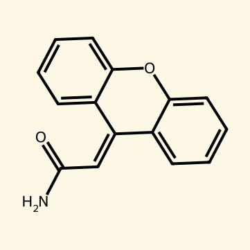 NC(=O)C=C1c2ccccc2Oc2ccccc21